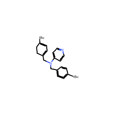 CC(C)(C)C1=C=C=C(CN(CC2=CC=C(C(C)(C)C)CC2)c2ccncc2)C=C1